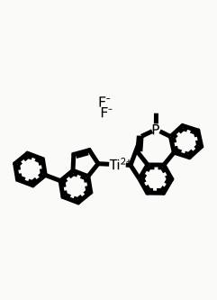 CP1C2=Cc3c(cccc3[CH]2[Ti+2][CH]2C=Cc3c(-c4ccccc4)cccc32)-c2ccccc21.[F-].[F-]